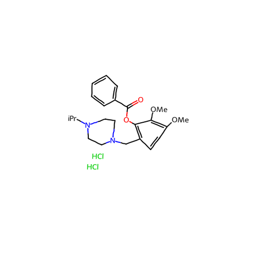 COc1ccc(CN2CCN(C(C)C)CC2)c(OC(=O)c2ccccc2)c1OC.Cl.Cl